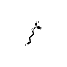 B=S(#P)OCCC=O